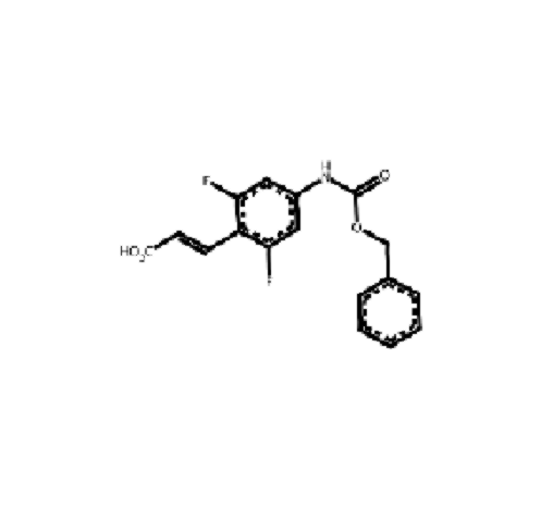 O=C(O)C=Cc1c(F)cc(NC(=O)OCc2ccccc2)cc1F